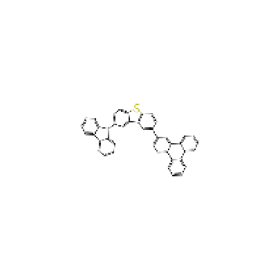 c1ccc2c(c1)-c1ccccc1C2c1ccc2sc3ccc(-c4ccc5c6ccccc6c6ccccc6c5c4)cc3c2c1